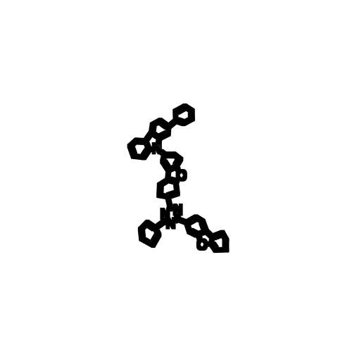 c1ccc(-c2ccc3c4ccccc4n(-c4ccc5oc6cc(-c7nc(-c8ccccc8)nc(-c8ccc9c(c8)oc8ccccc89)n7)ccc6c5c4)c3c2)cc1